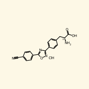 Cl.N#Cc1ccc(-c2nc(-c3ccc(C[C@H](N)C(=O)O)cc3)no2)cc1